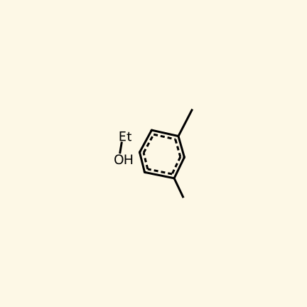 CCO.Cc1cccc(C)c1